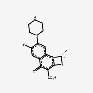 C[C@@H]1Sc2c(C(=O)O)c(=O)c3cc(F)c(N4CCNCC4)cc3n21